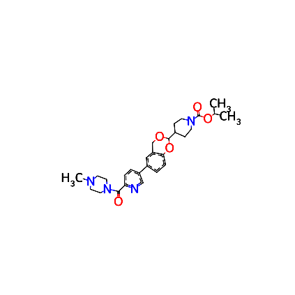 CC(C)OC(=O)N1CCC(C2OCc3cc(-c4ccc(C(=O)N5CCN(C)CC5)nc4)ccc3O2)CC1